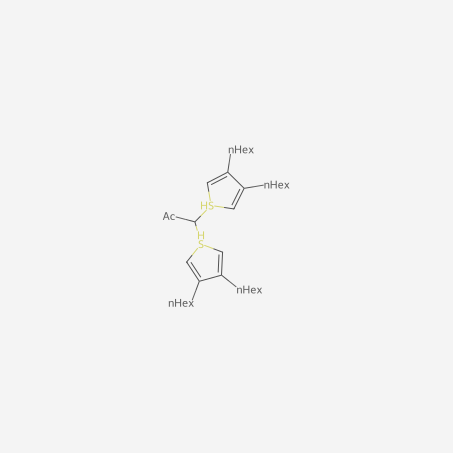 CCCCCCC1=C[SH](C(C(C)=O)[SH]2C=C(CCCCCC)C(CCCCCC)=C2)C=C1CCCCCC